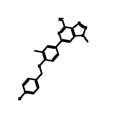 Cc1cc(-c2cc3c(nnn3C)c(C#N)n2)ccc1OCc1cc[n+]([O-])cc1